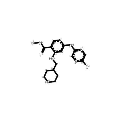 CCNC(=O)c1cnc(Nc2cnc(C#N)cn2)cc1NCC1CCNCC1